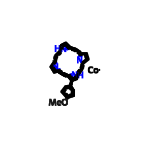 COc1ccc(-c2cc3cc4nc(cc5ccc(cc6nc(cc2[nH]3)C=C6)[nH]5)C=C4)cc1.[Co]